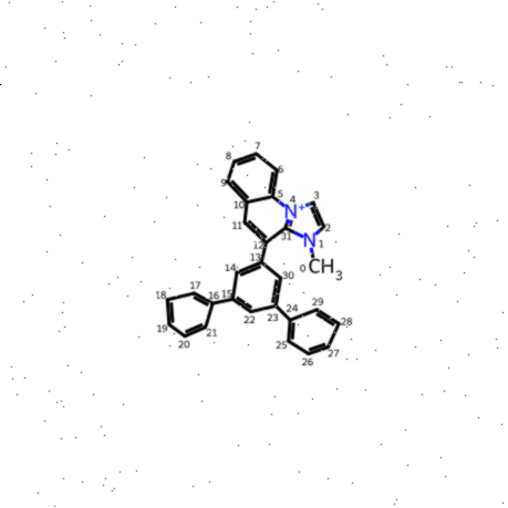 Cn1cc[n+]2c3ccccc3cc(-c3cc(-c4ccccc4)cc(-c4ccccc4)c3)c12